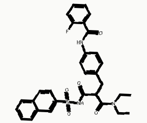 CCN(CC)C(=O)C(Cc1ccc(NC(=O)c2ccccc2F)cc1)C(=O)NS(=O)(=O)c1ccc2ccccc2c1